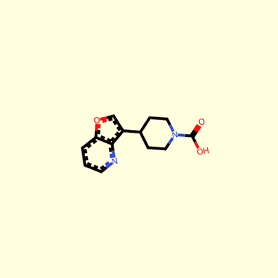 O=C(O)N1CCC(c2coc3cccnc23)CC1